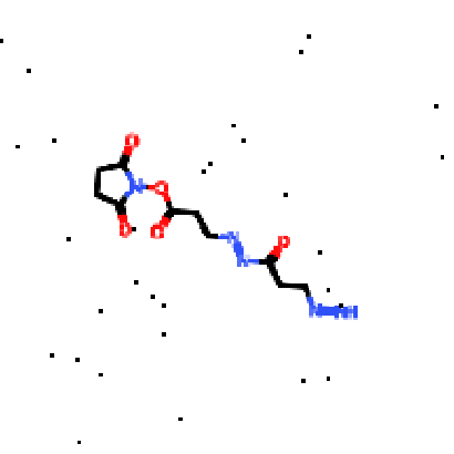 N=NCCC(=O)N=NCCC(=O)ON1C(=O)CCC1=O